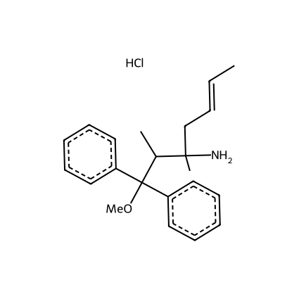 C/C=C/CC(C)(N)C(C)C(OC)(c1ccccc1)c1ccccc1.Cl